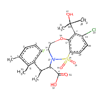 Cc1ccc(F)c(C(C)C(C(=O)O)N2CCOc3c(ccc(Cl)c3C(C)(C)O)S2(=O)=O)c1C